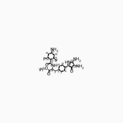 CC(C)OC(=O)[C@H](Cc1ccc(-n2[nH]c(N)c(N)c2=O)cc1)NC(=O)c1c(F)cc(N)cc1F